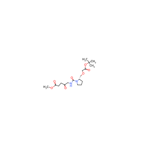 COC(=O)CCC(=O)CNC(=O)N1CCC[C@H]1COCC(=O)OC(C)(C)C